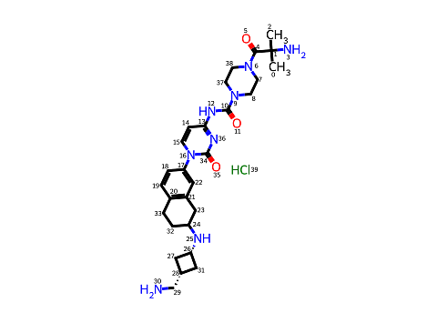 CC(C)(N)C(=O)N1CCN(C(=O)Nc2ccn(-c3ccc4c(c3)CC(N[C@H]3C[C@@H](CN)C3)CC4)c(=O)n2)CC1.Cl